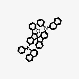 c1ccc(N(c2ccc3c(c2)C2(c4ccccc4-3)c3cc(N(c4ccccc4)c4cccc5ccccc45)ccc3-c3c2oc2ccccc32)c2ccc3ccccc3c2)cc1